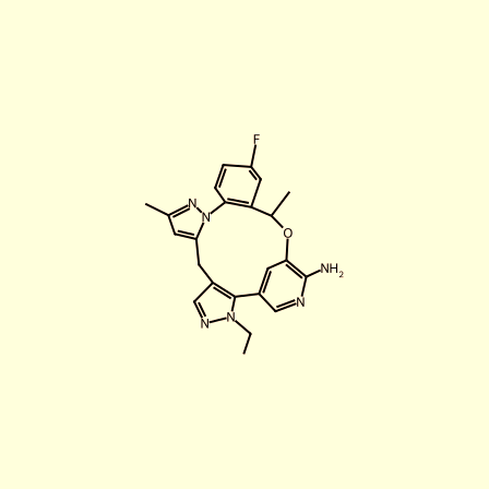 CCn1ncc2c1-c1cnc(N)c(c1)OC(C)c1cc(F)ccc1-n1nc(C)cc1C2